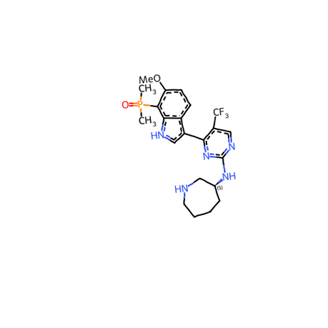 COc1ccc2c(-c3nc(N[C@H]4CCCCNC4)ncc3C(F)(F)F)c[nH]c2c1P(C)(C)=O